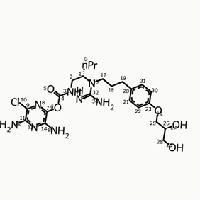 CCC[C@@H](CNC(=O)Oc1nc(Cl)c(N)nc1N)N(CCCc1ccc(OC[C@@H](O)CO)cc1)C(=N)N